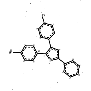 CC(C)c1ccc(-c2cc(-c3ccccc3)sc2-c2ccc(C(C)C)cc2)cc1